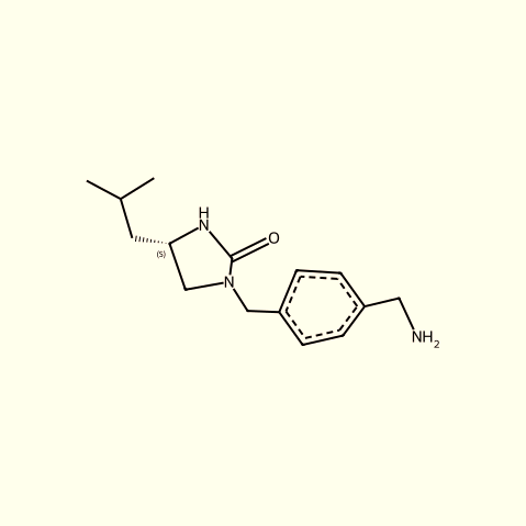 CC(C)C[C@H]1CN(Cc2ccc(CN)cc2)C(=O)N1